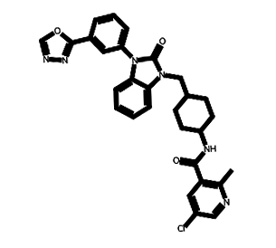 Cc1ncc(Cl)cc1C(=O)NC1CCC(Cn2c(=O)n(-c3cccc(-c4nnco4)c3)c3ccccc32)CC1